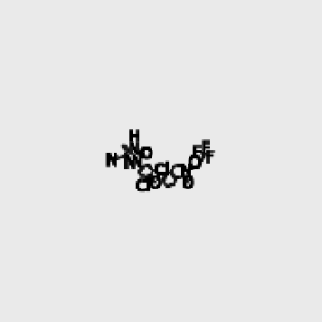 C=C1NC(=O)N(c2cc(Cl)c(Oc3ccc4c(c3)CCN(COCC(F)(F)F)C4=O)c(Cl)c2)N=C1C#N